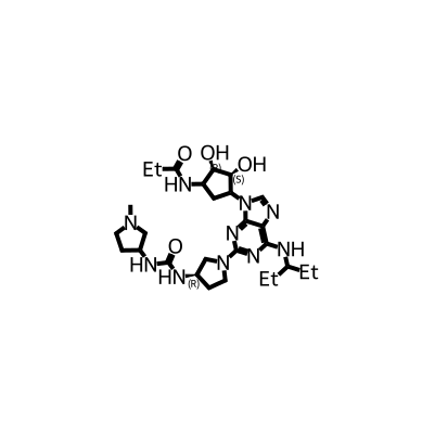 CCC(=O)NC1CC(n2cnc3c(NC(CC)CC)nc(N4CC[C@@H](NC(=O)NC5CCN(C)C5)C4)nc32)[C@H](O)[C@@H]1O